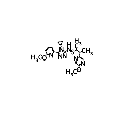 COc1cnc(C(C)C(C)SNc2nnc(-c3cccc(OC)n3)n2C2CC2)cn1